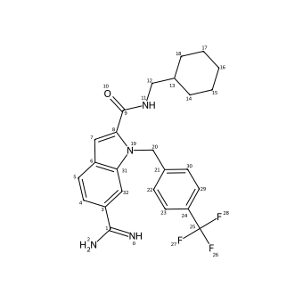 N=C(N)c1ccc2cc(C(=O)NCC3CCCCC3)n(Cc3ccc(C(F)(F)F)cc3)c2c1